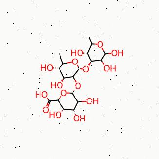 CC1O[C@@H](O[C@@H]2C(O)C(O)OC(C)[C@H]2O)C(O[C@H]2OC(C(=O)O)[C@@H](O)[C@@H](O)C2O)[C@@H](O)[C@@H]1O